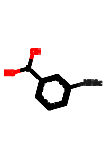 [CH2]C(=O)Nc1cccc(B(O)O)c1